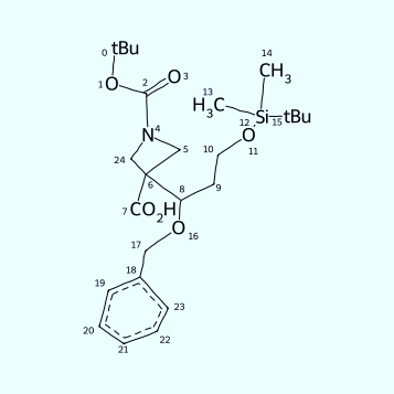 CC(C)(C)OC(=O)N1CC(C(=O)O)(C(CCO[Si](C)(C)C(C)(C)C)OCc2ccccc2)C1